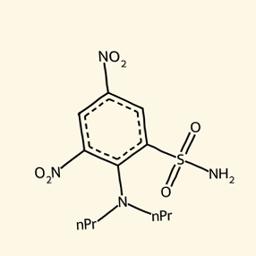 CCCN(CCC)c1c([N+](=O)[O-])cc([N+](=O)[O-])cc1S(N)(=O)=O